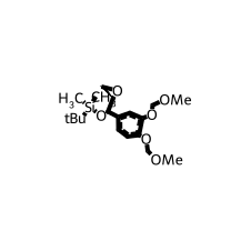 COCOc1ccc([C@@H](O[Si](C)(C)C(C)(C)C)[C@H]2CO2)cc1OCOC